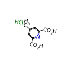 Cc1cc(C(=O)O)nc(C(=O)O)c1.Cl